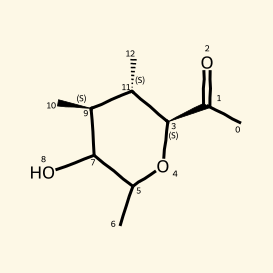 CC(=O)[C@H]1OC(C)C(O)[C@@H](C)[C@@H]1C